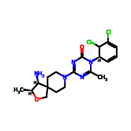 Cc1nc(N2CCC3(CC2)CO[C@@H](C)[C@H]3N)nc(=O)n1[C@@H]1C=CC=C(Cl)C1Cl